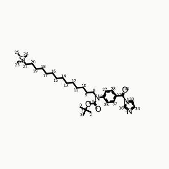 CC(C)(C)OC(=O)N(CCCCCCCCCCCCCC[Si](C)(C)C)c1ccc(C(=O)n2ccnc2)cc1